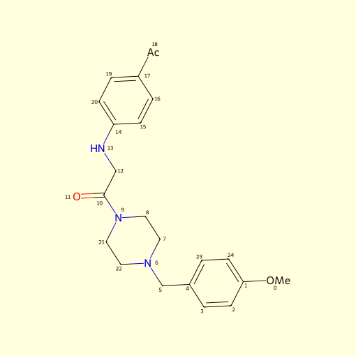 COc1ccc(CN2CCN(C(=O)CNc3ccc(C(C)=O)cc3)CC2)cc1